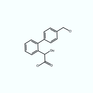 O=C(Cl)C(O)c1ccccc1-c1ccc(CCl)cc1